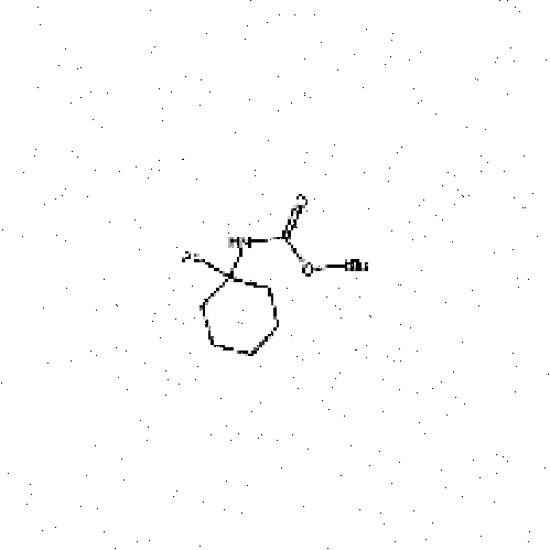 CC(=O)C1(NC(=O)OC(C)(C)C)CCCCC1